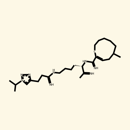 CC(=N)[C@H](CCCCNC(=N)CCc1cn(C(C)C)nn1)NC(=N)/C1=C/CC(C)CCCCCC1